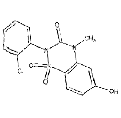 CN1C(=O)N(c2ccccc2Cl)S(=O)(=O)c2ccc(O)cc21